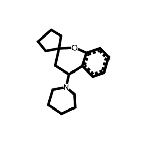 c1ccc2c(c1)OC1(CCCC1)CC2N1CCCCC1